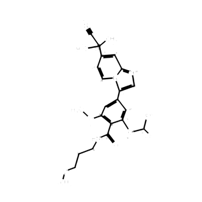 COCCCNC(=O)c1c(OC)cc(-c2cnc3cc(C(C)(C)C#N)ccn23)cc1OC(F)F